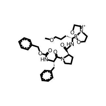 COCCC[C@@H](NC(=O)[C@H]1CCCN1C(=O)[C@H](Cc1ccccc1)NC(=O)OCc1ccccc1)[B-]12OCC[NH+]1CCO2